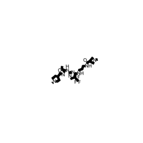 Cc1oc(C2CCN(C)CC2)nc1Nc1ncc(C(F)(F)F)c(NCCCNC(=O)C2CN(C)C2)n1